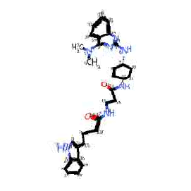 CN(C)c1nc(N[C@H]2CC[C@@H](NC(=O)CCNC(=O)CCCc3c[nH]c4ccccc34)CC2)nc2ccccc12